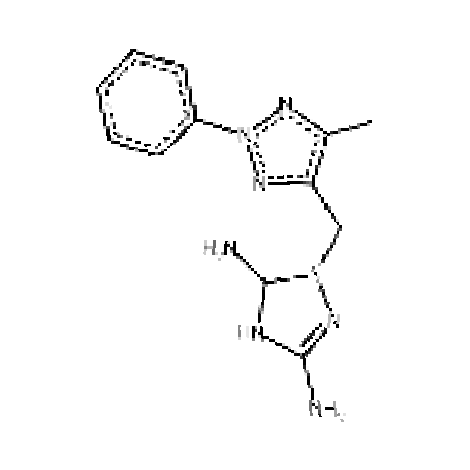 Cc1nn(-c2ccccc2)nc1CN1N=C(N)NC1N